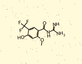 COc1cc(O)c(C(F)(F)F)cc1C(=O)NC(=N)N